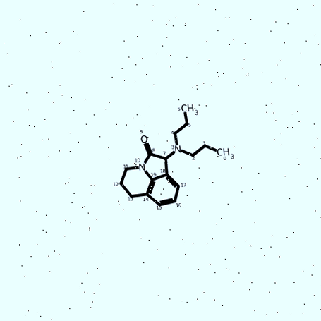 CCCN(CCC)C1C(=O)N2CCCc3cccc1c32